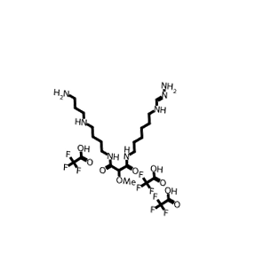 COC(C(=O)NCCCCCCNC=NN)C(=O)NCCCCNCCCN.O=C(O)C(F)(F)F.O=C(O)C(F)(F)F.O=C(O)C(F)(F)F